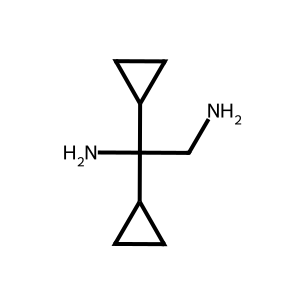 NCC(N)(C1CC1)C1CC1